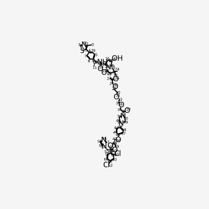 Cc1ncsc1-c1ccc([C@H](C)NC(=O)[C@@H]2C[C@@H](O)CN2C(=O)[C@@H](CC(=O)COCCOCCOCC(=O)N2CCN(c3ccc(OC[C@H]4CO[C@](Cn5ccnc5)(c5ccc(Cl)cc5Cl)O4)cc3)CC2)C(C)(C)C)cc1